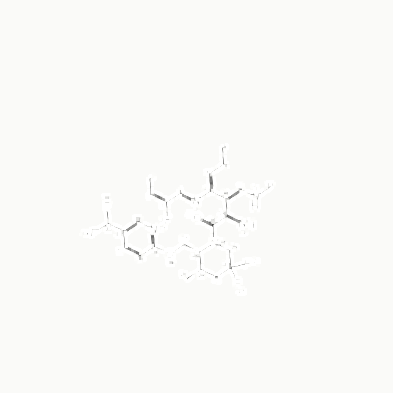 C\C=C(F)/C=N/C(=C/CC)C(=C/NC)/C(=N)C(=O)N1CC(F)(F)C[C@@H](C)[C@H]1COc1ccc(C(F)F)cn1